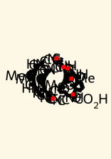 COc1c2cccc1C(=O)NCCN1CCNC(=O)c3cccc(c3OC)C(=O)NCCN(CCNC2=O)CCN2CCNC(=O)c3cccc(c3OC)C(=O)NCCN(CC1)CCN(CCCCCC(=O)O)C(=O)c1cccc(c1OC)C(=O)NCC2